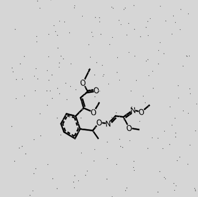 CON=C(C=NOC(C)c1ccccc1C(=CC(=O)OC)OC)OC